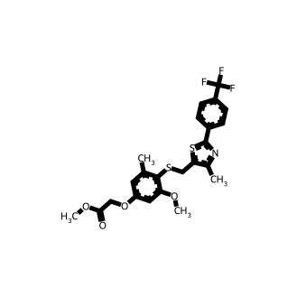 COC(=O)COc1cc(C)c(SCc2sc(-c3ccc(C(F)(F)F)cc3)nc2C)c(OC)c1